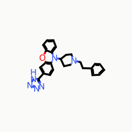 c1ccc(CCN2CCC(N3c4ccccc4Oc4cc(-c5nnn[nH]5)ccc43)CC2)cc1